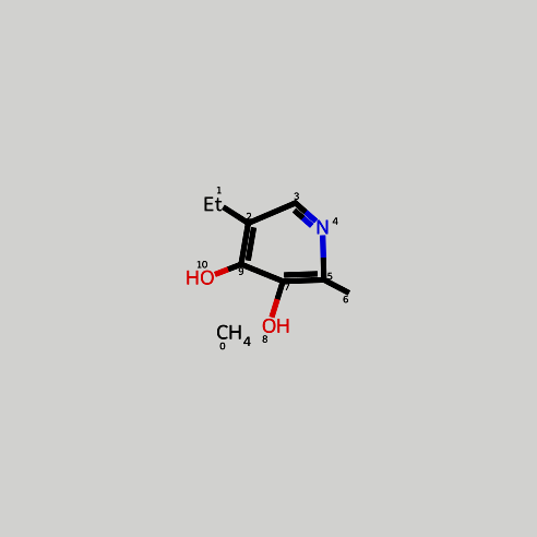 C.CCc1cnc(C)c(O)c1O